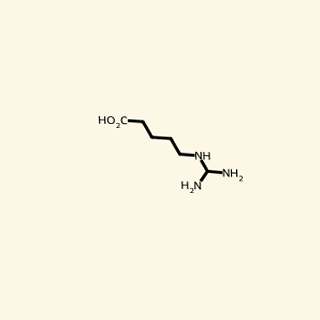 NC(N)NCCCCC(=O)O